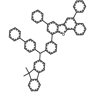 CC1(C)c2ccccc2-c2ccc(N(c3ccc(-c4ccccc4)cc3)c3cccc(-c4cc(-c5ccccc5)cc5c4oc4c6ccccc6c(-c6ccccc6)cc54)c3)cc21